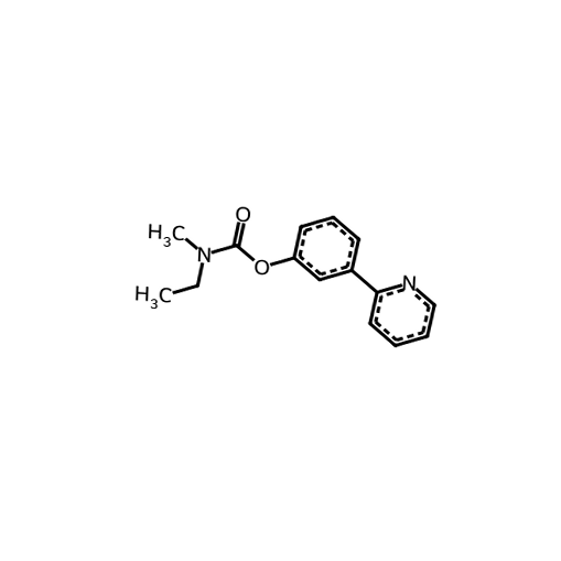 CCN(C)C(=O)Oc1cccc(-c2ccccn2)c1